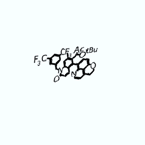 CC(=O)[C@@H](OC(C)(C)C)c1c(C)cc2c(ccc(=O)n2Cc2cc(C(F)(F)F)cc(C(F)(F)F)c2)c1-c1ccc2c3c(ccnc13)CCO2